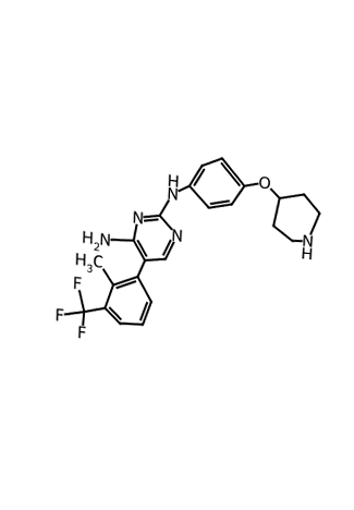 Cc1c(-c2cnc(Nc3ccc(OC4CCNCC4)cc3)nc2N)cccc1C(F)(F)F